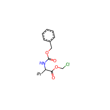 CC(C)C(NC(=O)OCc1ccccc1)C(=O)OCCl